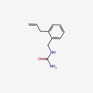 C=CCc1ccccc1CNC(N)=O